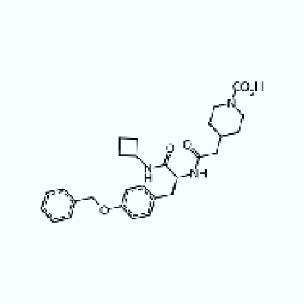 O=C(CC1CCN(C(=O)O)CC1)N[C@@H](Cc1ccc(OCc2ccccc2)cc1)C(=O)NC1CCC1